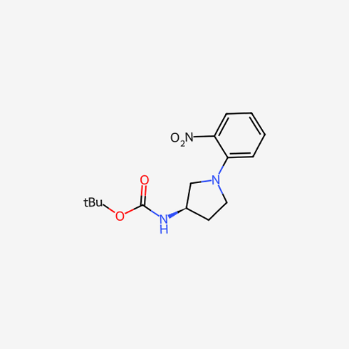 CC(C)(C)OC(=O)N[C@@H]1CCN(c2ccccc2[N+](=O)[O-])C1